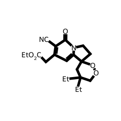 CCOC(=O)Cc1cc2n(c(=O)c1C#N)CCC21CC(CC)(CC)COO1